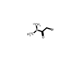 [13CH3]N([13CH3])C(=O)CBr